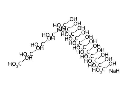 O=C(O)O.O=C(O)O.O=C(O)O.O=C(O)O.O=C(O)O.O=C(O)O.O=C(O)O.O=C(O)O.O=C(O)O.O=C(O)O.O=C(O)O.O=C(O)O.O=C(O)O.O=C(O)O.O=C(O)O.[NaH]